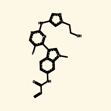 C=CC(=O)Nc1ccc2c(-c3nc(Nc4cnn(CCO)c4)ncc3F)cn(C)c2c1